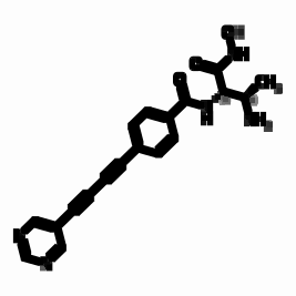 C[C@@H](N)[C@H](NC(=O)c1ccc(C#CC#Cc2cncnc2)cc1)C(=O)NO